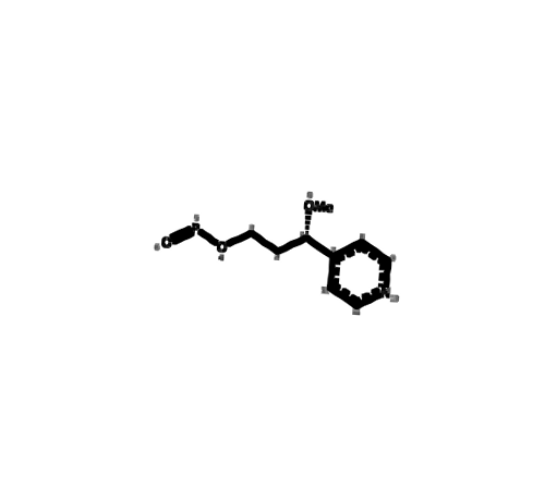 CO[C@@H](CCOP=O)c1ccncc1